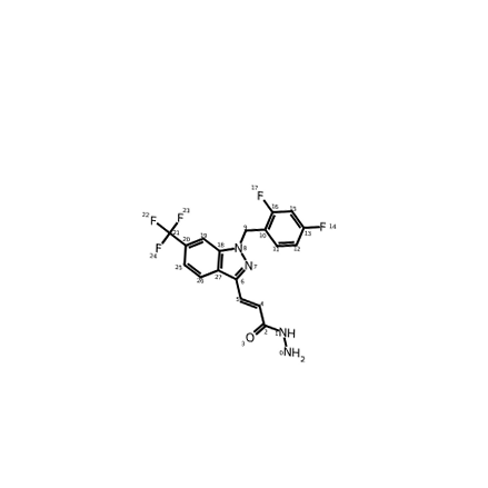 NNC(=O)C=Cc1nn(Cc2ccc(F)cc2F)c2cc(C(F)(F)F)ccc12